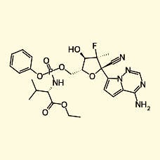 CCOC(=O)[C@@H](NP(=O)(OC[C@H]1O[C@@](C#N)(c2ccc3c(N)ncnn23)[C@](C)(F)[C@@H]1O)Oc1ccccc1)C(C)C